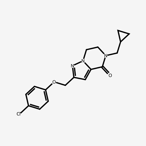 O=C1c2cc(COc3ccc(Cl)cc3)nn2CCN1CC1CC1